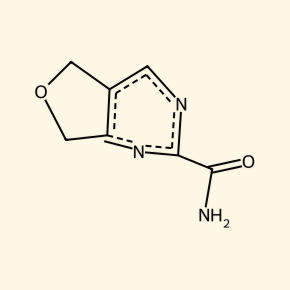 NC(=O)c1ncc2c(n1)COC2